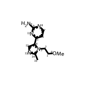 COCCn1c(-c2ccnc(N)n2)cnc1C